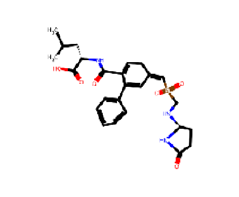 CC(C)C[C@H](NC(=O)C1=CCC(=CS(=O)(=O)CN[C@H]2CCC(=O)N2)C=C1c1ccccc1)C(=O)O